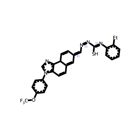 CCc1ccccc1/N=C(S)/N=N\C=C1/C=CC2C(=C1)C=Cc1c2ncn1-c1ccc(OC(F)(F)F)cc1